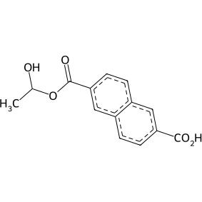 CC(O)OC(=O)c1ccc2cc(C(=O)O)ccc2c1